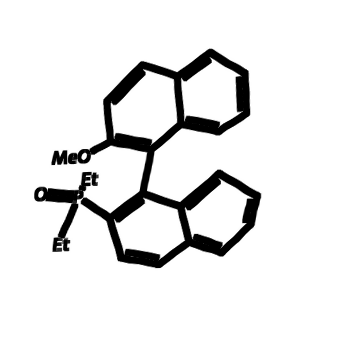 CCP(=O)(CC)c1ccc2ccccc2c1-c1c(OC)ccc2ccccc12